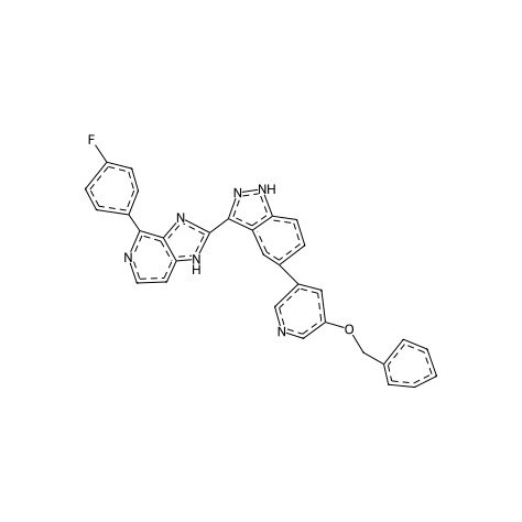 Fc1ccc(-c2nccc3[nH]c(-c4n[nH]c5ccc(-c6cncc(OCc7ccccc7)c6)cc45)nc23)cc1